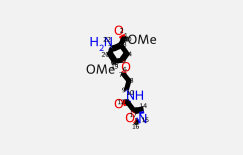 COC(=O)c1cc(OCCCNC(=O)c2cnco2)c(OC)cc1N